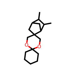 CC1C2CC(C1C)C1(COC3(CCCCC3)OC1)C2